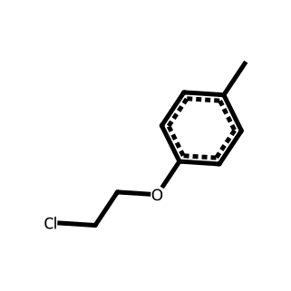 Cc1ccc(OCCCl)cc1